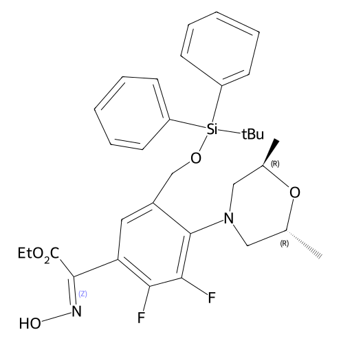 CCOC(=O)/C(=N\O)c1cc(CO[Si](c2ccccc2)(c2ccccc2)C(C)(C)C)c(N2C[C@@H](C)O[C@H](C)C2)c(F)c1F